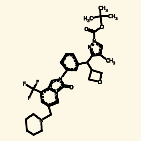 Cc1cn(C(=O)OC(C)(C)C)nc1C(c1cccc(-n2cc3c(C(F)(F)F)cc(CN4CCCCC4)cn3c2=O)c1)C1COC1